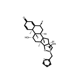 C[C@]12C[C@H](O)[C@@]3(F)[C@@H](C[C@H](F)C4=CC(=O)C=C[C@@]43C)[C@]1(C)C[C@H]1CN(Cc3cccs3)O[C@]12C(=O)O